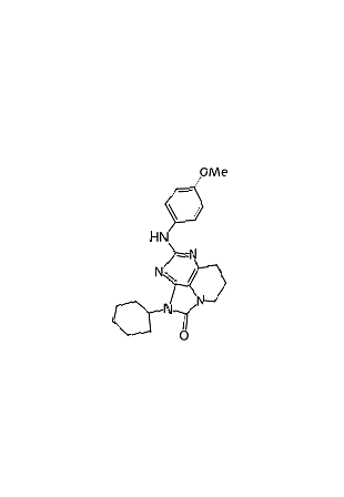 COc1ccc(Nc2nc3c4c(n2)n(C2CCCCC2)c(=O)n4CCC3)cc1